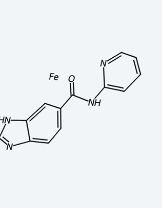 O=C(Nc1ccccn1)c1ccc2nc[nH]c2c1.[Fe]